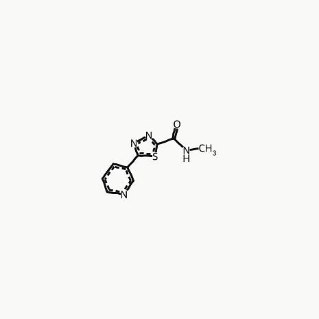 CNC(=O)c1nnc(-c2cccnc2)s1